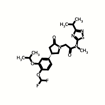 CC(C)Oc1cc([C@@H]2CC(=O)N(CC(=O)N(C)c3nc(C(C)C)ns3)C2)ccc1OC(F)F